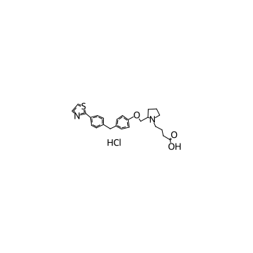 Cl.O=C(O)CCCN1CCCC1COc1ccc(Cc2ccc(-c3nccs3)cc2)cc1